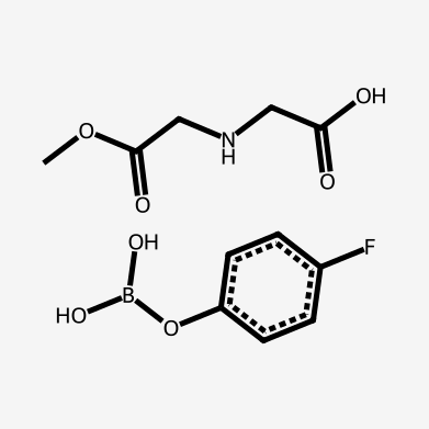 COC(=O)CNCC(=O)O.OB(O)Oc1ccc(F)cc1